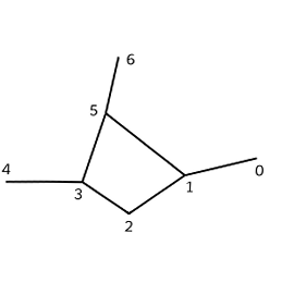 CC1CC(C)C1C